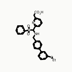 CCOc1cccc(-c2ccc(CNC(c3cccc(CC(=O)O)n3)S(=O)(=O)c3ccccc3)cc2)c1